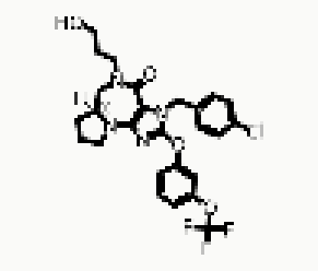 O=C1c2c(nc(Oc3cccc(OC(F)(F)F)c3)n2Cc2ccc(Cl)cc2)N2CCC[C@H]2CN1CCCO